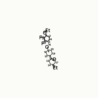 CCOc1ccc(COC2CCC(C3CCC(CC)CO3)CC2)c(F)c1F